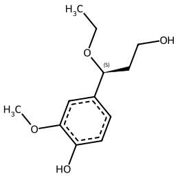 CCO[C@@H](CCO)c1ccc(O)c(OC)c1